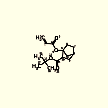 C=CC(=O)OC12CCC(CC1C(=O)OC(C)(C)C)C2